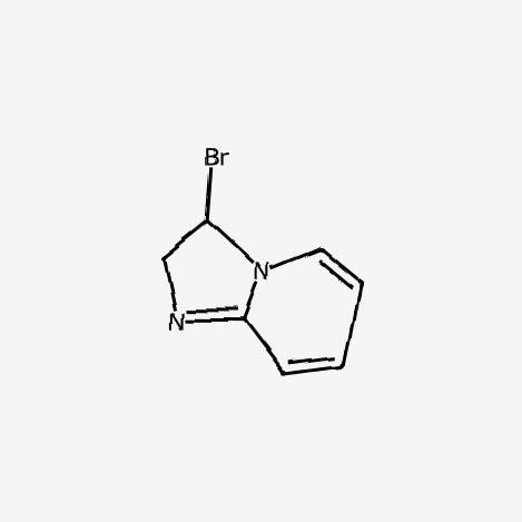 BrC1CN=C2C=CC=CN21